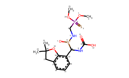 COP(=S)(CN[S+]([O-])C(NC(=O)O)c1cccc2c1OC(C)(C)C2)OC